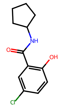 O=C(NC1CCCC1)c1cc(Cl)ccc1O